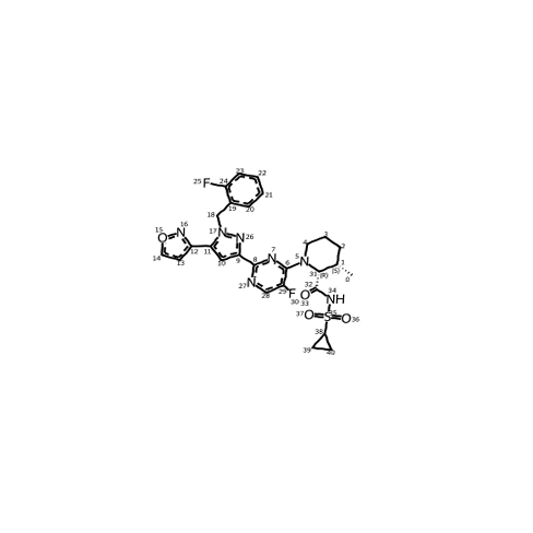 C[C@H]1CCCN(c2nc(-c3cc(-c4ccon4)n(Cc4ccccc4F)n3)ncc2F)[C@H]1C(=O)NS(=O)(=O)C1CC1